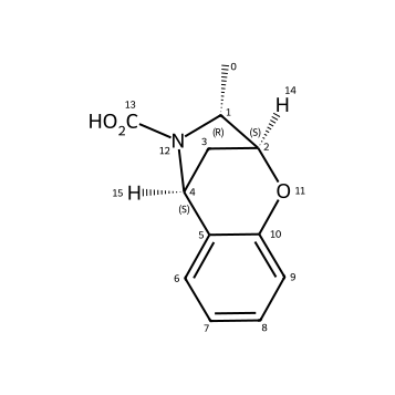 C[C@@H]1[C@@H]2C[C@@H](c3ccccc3O2)N1C(=O)O